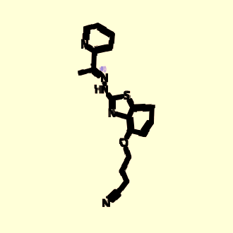 C/C(=N\Nc1nc2c(OCCCC#N)cccc2s1)c1ccccn1